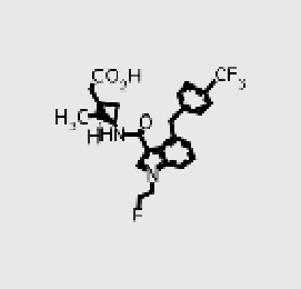 C[C@H]1C2(CC(=O)O)CC1(NC(=O)c1cn(CCF)c3cccc(Cc4ccc(C(F)(F)F)cc4)c13)C2